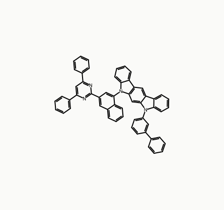 c1ccc(-c2cccc(-n3c4ccccc4c4cc5c6ccccc6n(-c6cc(-c7nc(-c8ccccc8)cc(-c8ccccc8)n7)cc7ccccc67)c5cc43)c2)cc1